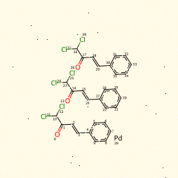 O=C(C=Cc1ccccc1)C(Cl)Cl.O=C(C=Cc1ccccc1)C(Cl)Cl.O=C(C=Cc1ccccc1)C(Cl)Cl.[Pd]